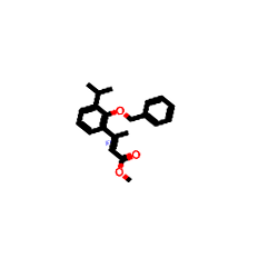 COC(=O)/C=C(\C)c1cccc(C(C)C)c1OCc1ccccc1